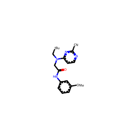 COc1cccc(NC(=O)CN(CC(C)(C)C)c2ccnc(C#N)n2)c1